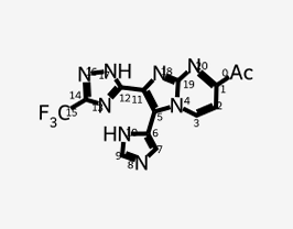 CC(=O)c1ccn2c(-c3cnc[nH]3)c(-c3nc(C(F)(F)F)n[nH]3)nc2n1